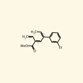 C=C/C(=C\C(=C/C)c1cccc(CC)c1)C(=O)OC